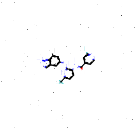 Cc1cc(Nc2nc(C(F)(F)F)ccc2NC(=O)c2ccnc(F)c2)cc2cn[nH]c12